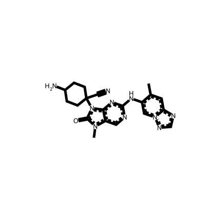 Cc1cc2ncnn2cc1Nc1ncc2c(n1)n(C1(C#N)CCC(N)CC1)c(=O)n2C